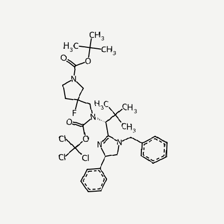 CC(C)(C)OC(=O)N1CCC(F)(CN(C(=O)OC(Cl)(Cl)Cl)[C@@H](C2=NC(c3ccccc3)CN2Cc2ccccc2)C(C)(C)C)C1